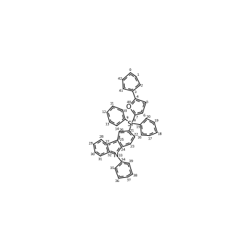 c1ccc(-c2ccc([Si](c3ccccc3)(c3ccccc3)c3ccc4c(c3)c3ccccc3n4-c3ccccc3)o2)cc1